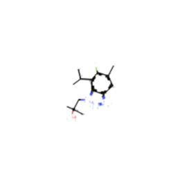 Cc1cc2nnn(CC(C)(C)O)c2c(C(C)C)c1F